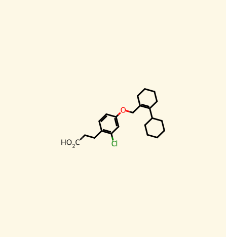 O=C(O)CCc1ccc(OCC2=C(C3CCCCC3)CCCC2)cc1Cl